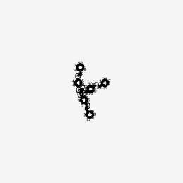 O=P(Oc1ccc(OCc2ccccc2)cc1)(Oc1ccc(OCc2ccccc2)cc1)Oc1ccc(OCc2ccccc2)cc1